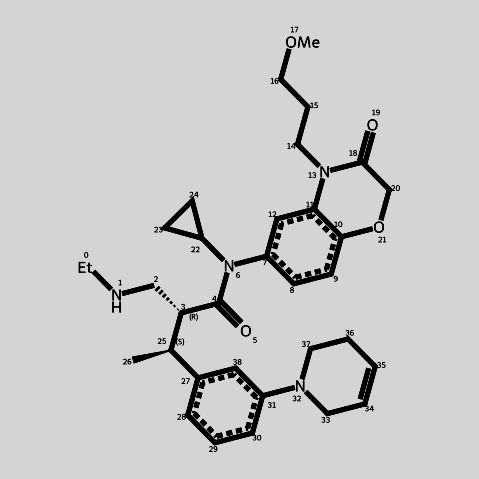 CCNC[C@H](C(=O)N(c1ccc2c(c1)N(CCCOC)C(=O)CO2)C1CC1)[C@H](C)c1cccc(N2CC=CCC2)c1